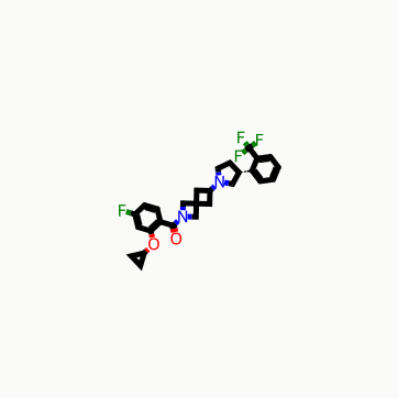 O=C(c1ccc(F)cc1OC1CC1)N1CC2(CC(N3CC[C@H](c4ccccc4C(F)(F)F)C3)C2)C1